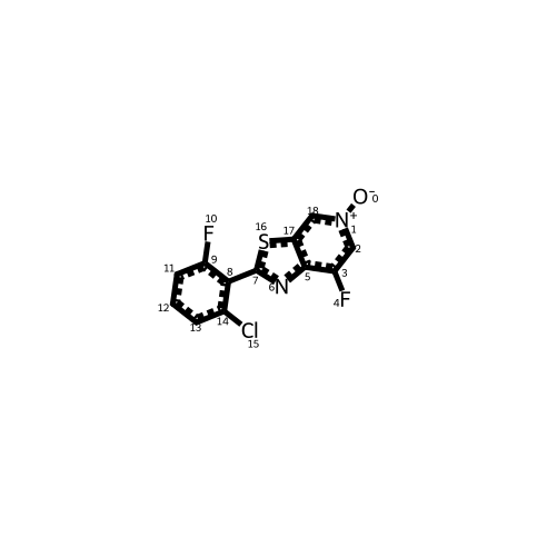 [O-][n+]1cc(F)c2nc(-c3c(F)cccc3Cl)sc2c1